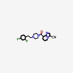 N#Cc1cnc2c(C(=O)N3CCN(CCc4ccc(F)cc4F)CC3)cccn12